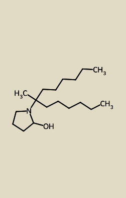 CCCCCCC(C)(CCCCCC)N1CCCC1O